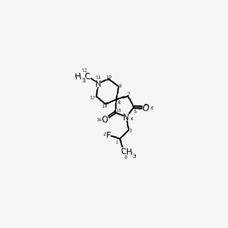 CC(F)CN1C(=O)CC2(CCN(C)CC2)C1=O